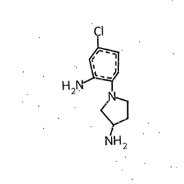 Nc1cc(Cl)ccc1N1CCC(N)C1